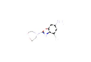 Nc1cc(Br)c2nc(N3CCOCC3)oc2c1